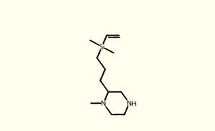 C=C[Si](C)(C)CCCC1CNCCN1C